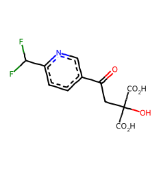 O=C(CC(O)(C(=O)O)C(=O)O)c1ccc(C(F)F)nc1